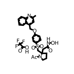 CC(=O)N1CCCC1(CC(=O)NO)CS(=O)(=O)c1ccc(OCc2cc(C)nc3ccccc23)cc1.O=C(O)C(F)(F)F